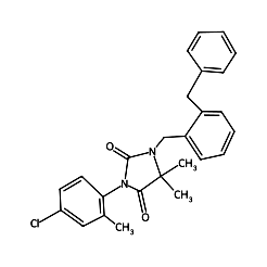 Cc1cc(Cl)ccc1N1C(=O)N(Cc2ccccc2Cc2ccccc2)C(C)(C)C1=O